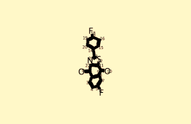 O=C1c2ccc(F)cc2C(=O)c2sc(-c3ccc(F)cc3)nc21